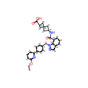 CCOc1cccc(-c2ccc(Cn3ncc4cccc(C(=O)NC5CC6(C5)CC(C(=O)O)C6)c43)cc2)n1